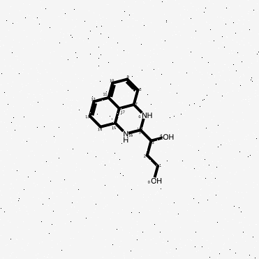 OCCC(O)C1NC2C=CC=C3C=CCC(N1)C32